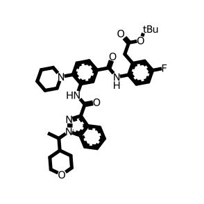 CC(C1CCOCC1)n1nc(C(=O)Nc2cc(C(=O)Nc3ccc(F)cc3CC(=O)OC(C)(C)C)ccc2N2CCCCC2)c2ccccc21